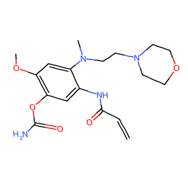 C=CC(=O)Nc1cc(OC(N)=O)c(OC)cc1N(C)CCN1CCOCC1